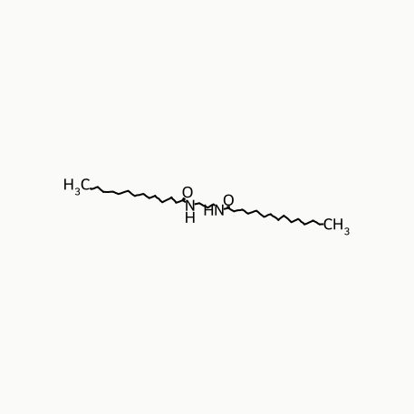 CCCCCCCCCCCCCCC(=O)NCCCNC(=O)CCCCCCCCCCCCCC